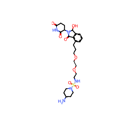 NC1CCN(S(=O)(=O)NCCOCCOCCCc2cccc3c2C(=O)N(C2CCC(=O)NC2=O)C3O)CC1